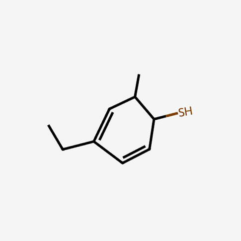 CCC1=CC(C)C(S)C=C1